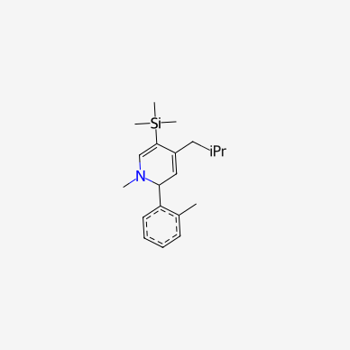 Cc1ccccc1C1C=C(CC(C)C)C([Si](C)(C)C)=CN1C